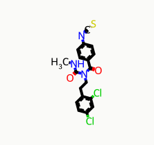 CNC(=O)N(CCc1ccc(Cl)cc1Cl)C(=O)c1ccc(N=C=S)cc1